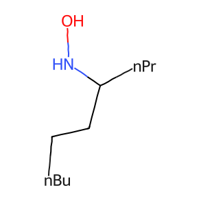 CCCCCCC(CCC)NO